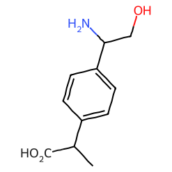 CC(C(=O)O)c1ccc(C(N)CO)cc1